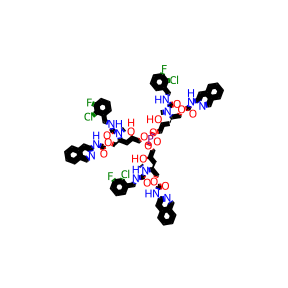 CN(C(=O)NCc1cccc(F)c1Cl)[C@H](COC(=O)Nc1cc2ccccc2cn1)C[C@@H](O)COP(=O)(OC[C@H](O)C[C@@H](COC(=O)Nc1cc2ccccc2cn1)N(C)C(=O)NCc1cccc(F)c1Cl)OC[C@H](O)C[C@@H](COC(=O)Nc1cc2ccccc2cn1)N(C)C(=O)NCc1cccc(F)c1Cl